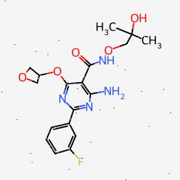 CC(C)(O)CONC(=O)c1c(N)nc(-c2cccc(F)c2)nc1OC1COC1